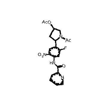 CC(=O)OC1CC(c2cc([N+](=O)[O-])c(NC(=O)c3ccccn3)cc2F)N(C(C)=O)C1